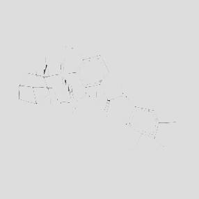 NS(=O)(=O)NC[C@]1(O)C2CC1C[C@@H](S(=O)(=O)c1cc(C(=O)Nc3cc(F)c(F)c(F)c3)ccc1Cl)C2